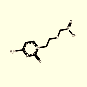 Nc1ccn(CCOC[PH](=O)O)c(=O)n1